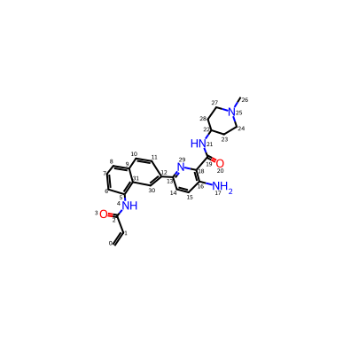 C=CC(=O)Nc1cccc2ccc(-c3ccc(N)c(C(=O)NC4CCN(C)CC4)n3)cc12